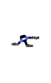 CCCCCCCCCCC1N(CCCCCCC)C=CN1CCCCCCCC